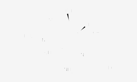 CC/C=C/[C@@]1(C)N=C(N)S[C@@]2(C(=O)N(C)C)[C@@H](C)[C@@H]21